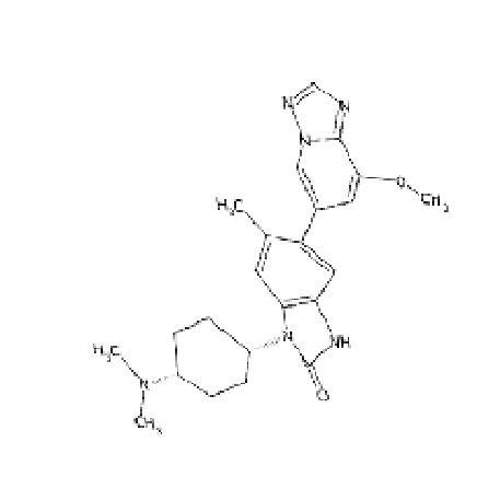 COc1cc(-c2cc3[nH]c(=O)n([C@H]4CC[C@@H](N(C)C)CC4)c3cc2C)cn2ncnc12